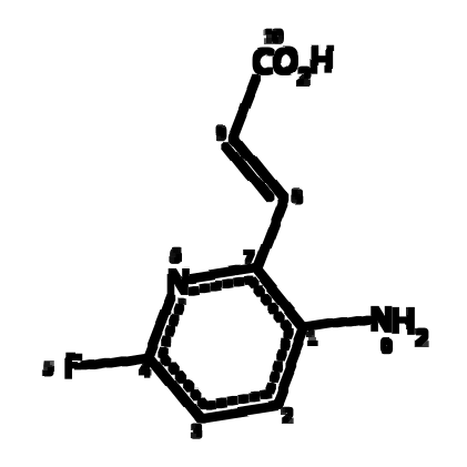 Nc1ccc(F)nc1/C=C/C(=O)O